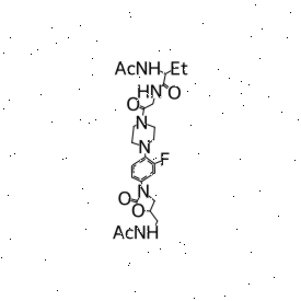 CCC(NC(C)=O)C(=O)NCC(=O)N1CCN(c2ccc(N3CC(CNC(C)=O)OC3=O)cc2F)CC1